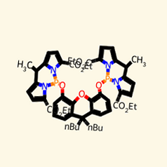 CCCCC1(CCCC)c2cccc(OP3n4c(C(=O)OCC)ccc4C(C)c4ccc(C(=O)OCC)n43)c2Oc2c(OP3n4c(C(=O)OCC)ccc4C(C)c4ccc(C(=O)OCC)n43)cccc21